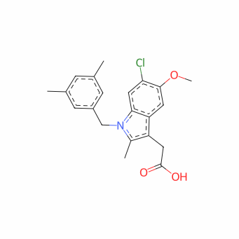 COc1cc2c(CC(=O)O)c(C)n(Cc3cc(C)cc(C)c3)c2cc1Cl